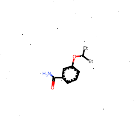 CCC(CC)Oc1cccc(C(N)=O)c1